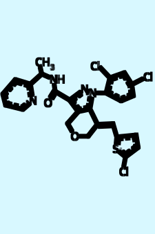 CC(NC(=O)c1nn(-c2ccc(Cl)cc2Cl)c2c1COC/C2=C\c1ccc(Cl)s1)c1ccccn1